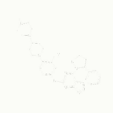 COc1cc(Nc2nc(N3N=CCC3c3ccccc3)c3cc[nH]c3n2)ccc1N1CCC(N2CCN(C)CC2)CC1